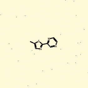 Cc1cnc(-c2cnccn2)s1